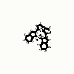 C[Si](C)(C1C(c2ccco2)=Cc2ccccc21)C1C(c2ccco2)=Cc2ccccc21